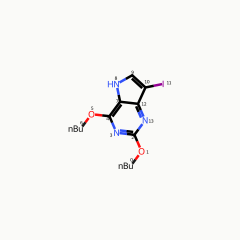 CCCCOc1nc(OCCCC)c2[nH]cc(I)c2n1